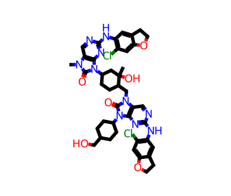 Cn1c(=O)n(C2CCC(Cn3c(=O)n(C4CCC(CO)CC4)c4nc(Nc5cc6c(cc5Cl)OCC6)ncc43)C(C)(O)C2)c2nc(Nc3cc4c(cc3Cl)OCC4)ncc21